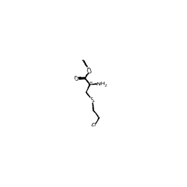 COC(=O)[C@@H](N)CSCCCl